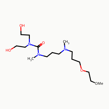 COCCOCCCN(C)CCCN(C)C(=O)N(CCO)CCO